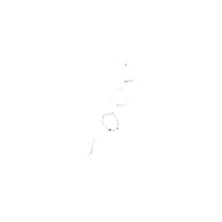 C=C(OC(C)(C)C)N1CCC(c2ccc(OCC#N)cc2)CC1